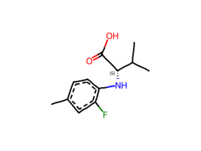 Cc1ccc(N[C@H](C(=O)O)C(C)C)c(F)c1